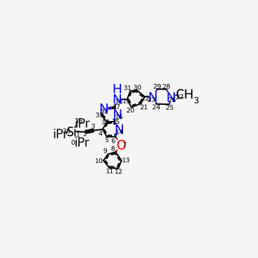 CC(C)[Si](C#Cc1cc(Oc2ccccc2)nc2nc(Nc3ccc(N4CCN(C)CC4)cc3)ncc12)(C(C)C)C(C)C